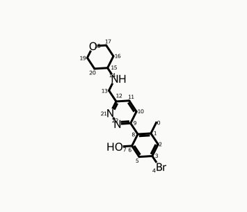 Cc1cc(Br)cc(O)c1-c1ccc(CNC2CCOCC2)nn1